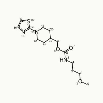 COCCCNC(=O)OCC1CCN(c2nccs2)CC1